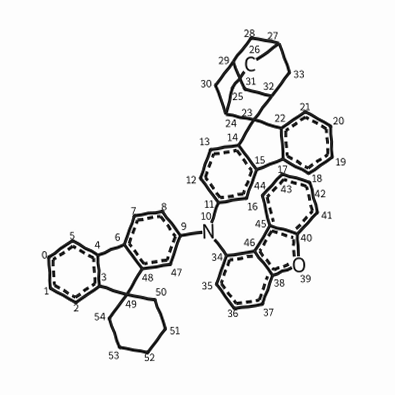 c1ccc2c(c1)-c1ccc(N(c3ccc4c(c3)-c3ccccc3C43C4CCC5CC(C4)CC3C5)c3cccc4oc5ccccc5c34)cc1C21CCCCC1